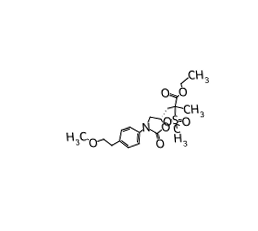 CCOC(=O)C(C)(C[C@H]1CN(c2ccc(CCOC)cc2)C(=O)O1)S(C)(=O)=O